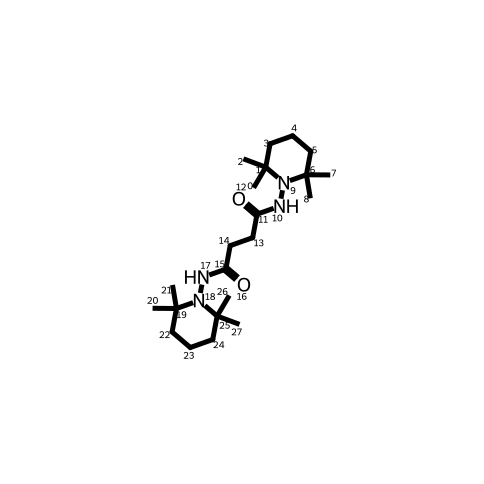 CC1(C)CCCC(C)(C)N1NC(=O)CCC(=O)NN1C(C)(C)CCCC1(C)C